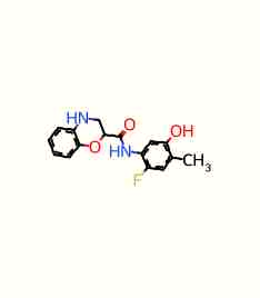 Cc1cc(F)c(NC(=O)C2CNc3ccccc3O2)cc1O